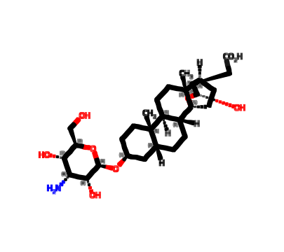 C[C@]12CC[C@H](O[C@@H]3O[C@H](CO)[C@@H](O)[C@@H](N)[C@H]3O)C[C@H]1CC[C@@H]1[C@@H]2CC[C@]2(C)[C@@H]3CC[C@]12O[C@@H](O)[C@H]3CC(=O)O